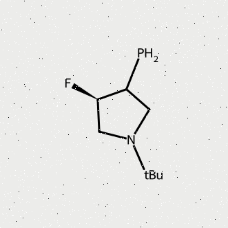 CC(C)(C)N1CC(P)[C@H](F)C1